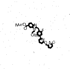 COCCn1c(Cc2ccc(-c3cccc(OCc4cccc(=O)n4C)n3)cc2F)nc2ccc(C(=O)OC)cc21